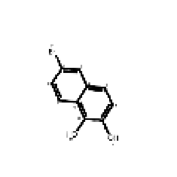 Oc1ccc2cc(Br)ccc2c1O